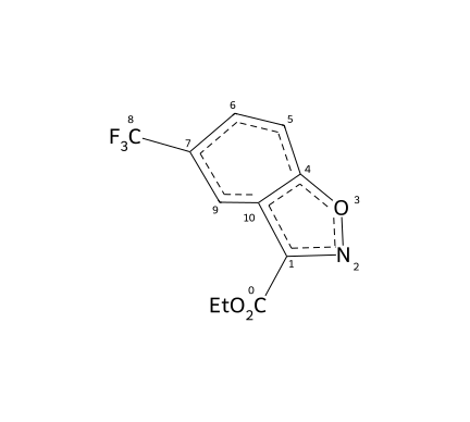 CCOC(=O)c1noc2ccc(C(F)(F)F)cc12